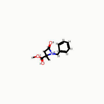 COC(=O)C1(C)CC(=O)N1Cc1ccccc1